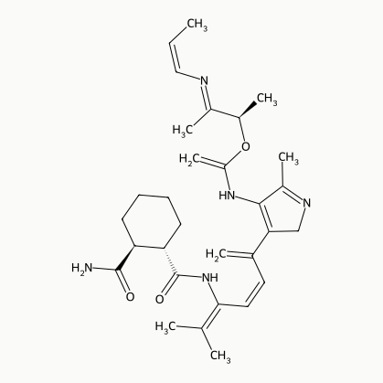 C=C(NC1=C(C(=C)/C=C\C(NC(=O)[C@H]2CCCC[C@@H]2C(N)=O)=C(C)C)CN=C1C)O[C@H](C)/C(C)=N/C=C\C